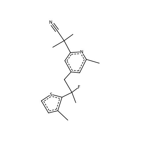 Cc1cc(CC(C)(F)c2sccc2C)cc(C(C)(C)C#N)n1